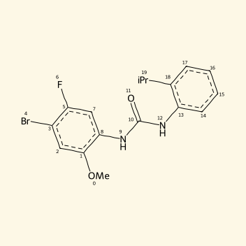 COc1cc(Br)c(F)cc1NC(=O)Nc1ccccc1C(C)C